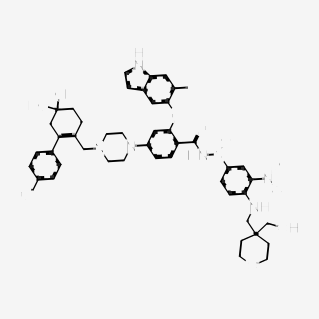 CC1(C)CCC(CN2CCN(c3ccc(C(=O)N[S+]([O-])c4ccc(NCC5(CO)CCOCC5)c([N+](=O)[O-])c4)c(Oc4cc5cc[nH]c5cc4F)c3)CC2)=C(c2ccc(Cl)cc2)C1